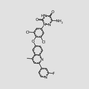 Cc1cc(-c2ccnc(F)c2)nc2ccc(Oc3c(Cl)cc(-n4nc(N)c(=O)[nH]c4=O)cc3Cl)cc12